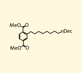 CCCCCCCCCCCCCCCCCCc1cc(C(=O)OC)ccc1C(=O)OC